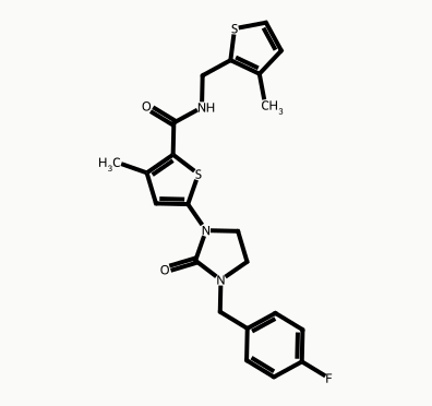 Cc1ccsc1CNC(=O)c1sc(N2CCN(Cc3ccc(F)cc3)C2=O)cc1C